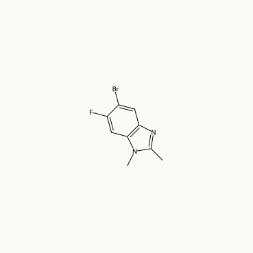 Cc1nc2cc(Br)c(F)cc2n1C